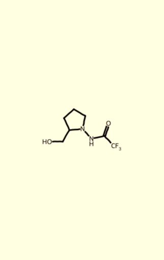 O=C(NN1CCCC1CO)C(F)(F)F